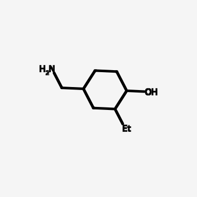 CCC1CC(CN)CCC1O